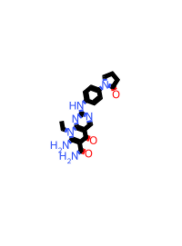 CCn1c(N)c(C(N)=O)c(=O)c2cnc(Nc3ccc(N4CCCC4=O)cc3)nc21